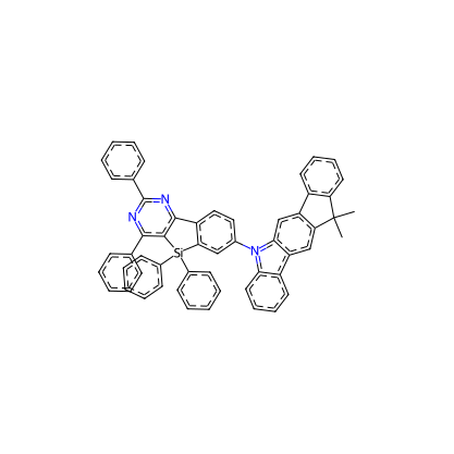 CC1(C)c2ccccc2-c2cc3c(cc21)c1ccccc1n3-c1ccc2c(c1)[Si](c1ccccc1)(c1ccccc1)c1c(-c3ccccc3)nc(-c3ccccc3)nc1-2